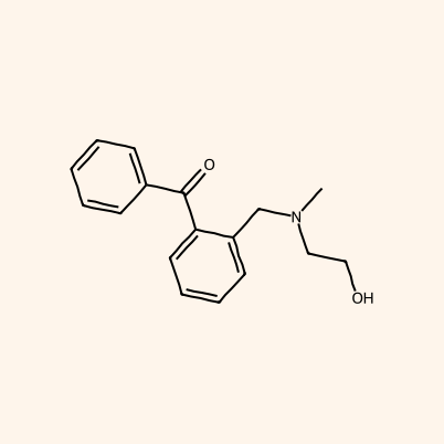 CN(CCO)Cc1ccccc1C(=O)c1ccccc1